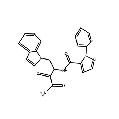 NC(=O)C(=O)C(Cn1ccc2ccccc21)NC(=O)c1ccnn1-c1ccccn1